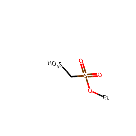 CCOS(=O)(=O)CS(=O)(=O)O